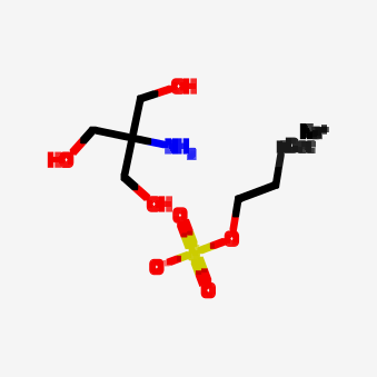 CCCCCCCCCCCCOS(=O)(=O)[O-].NC(CO)(CO)CO.[Na+]